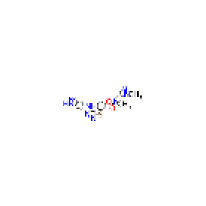 CN(Cc1cnn(C)c1)C(=O)OC1CCc2c(sc3ncnc(Nc4ccc5[nH]ncc5c4)c23)C1